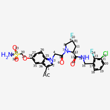 CC(=O)c1cn(CC(=O)N2C[C@H](F)C[C@H]2C(=O)NCc2cccc(Cl)c2F)c2ccc(OCS(N)(=O)=O)cc12